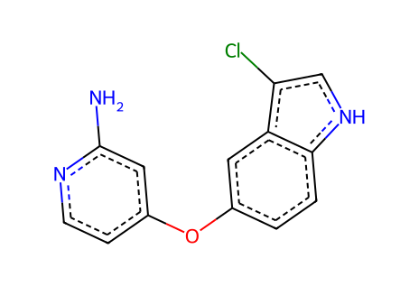 Nc1cc(Oc2ccc3[nH]cc(Cl)c3c2)ccn1